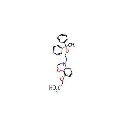 CC(OCCN1CCOc2c(OCC(=O)O)cccc21)(c1ccccc1)c1ccccc1